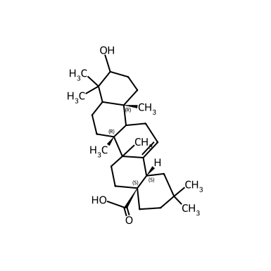 CC1(C)CC[C@]2(C(=O)O)CCC3(C)C(=CCC4[C@@]5(C)CCC(O)C(C)(C)C5CC[C@]43C)[C@@H]2C1